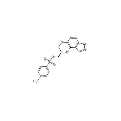 Cc1ccc(S(=O)(=O)OC[C@H]2COc3ccc4[nH]ncc4c3O2)cc1